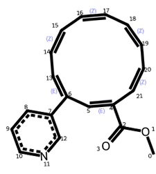 COC(=O)C1=C/C(c2cccnc2)=C\C=C/C=C\C=C/C=C\1